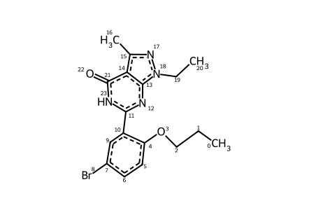 CCCOc1ccc(Br)cc1-c1nc2c(c(C)nn2CC)c(=O)[nH]1